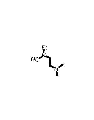 CCN(C#N)CCN(C)C